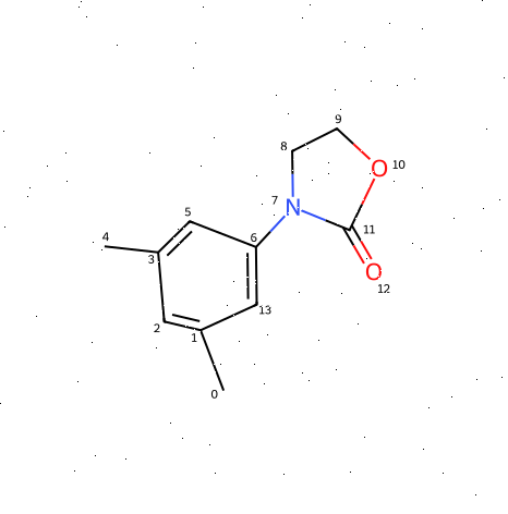 Cc1cc(C)cc(N2CCOC2=O)c1